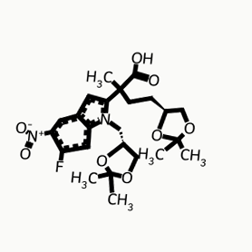 CC1(C)OC[C@H](CCC(C)(C(=O)O)c2cc3cc([N+](=O)[O-])c(F)cc3n2C[C@@H]2COC(C)(C)O2)O1